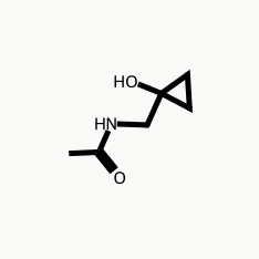 CC(=O)NCC1(O)CC1